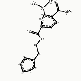 COC(=O)c1ccc(C(=O)OCCc2ccccc2)cc1N(C)C